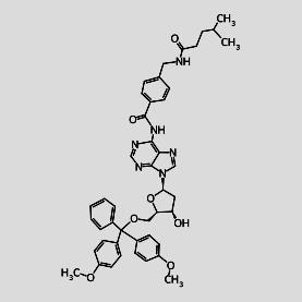 COc1ccc(C(OC[C@H]2O[C@@H](n3cnc4c(NC(=O)c5ccc(CNC(=O)CCC(C)C)cc5)ncnc43)C[C@H]2O)(c2ccccc2)c2ccc(OC)cc2)cc1